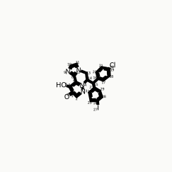 O=c1cnn2c(c1O)-c1nccn1CC2C(c1ccc(Cl)cc1)c1ccc(I)cc1